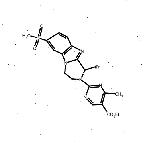 CCOC(=O)c1cnc(N2CCn3c(nc4ccc(S(C)(=O)=O)cc43)C2C(C)C)nc1C